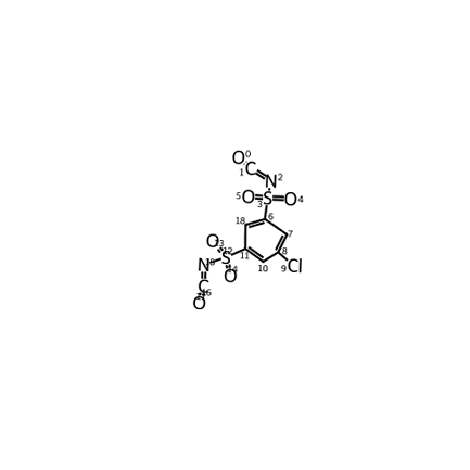 O=C=NS(=O)(=O)c1cc(Cl)cc(S(=O)(=O)N=C=O)c1